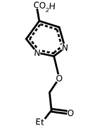 CCC(=O)COc1ncc(C(=O)O)cn1